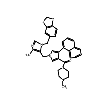 CN1CCN(C(=O)c2cn(Cc3c(N)ncn3Cc3ccc4c(c3)OCO4)cc2-c2cccc3ccccc23)CC1